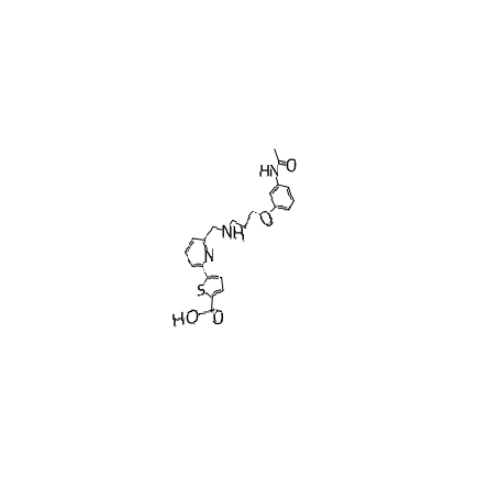 CC(=O)Nc1cccc(OCCCNCc2cccc(-c3ccc(C(=O)O)s3)n2)c1